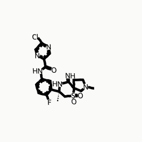 CN1CCC2(C1)C(=N)N[C@](C)(c1cc(NC(=O)c3cnc(Cl)cn3)ccc1F)CS2(=O)=O